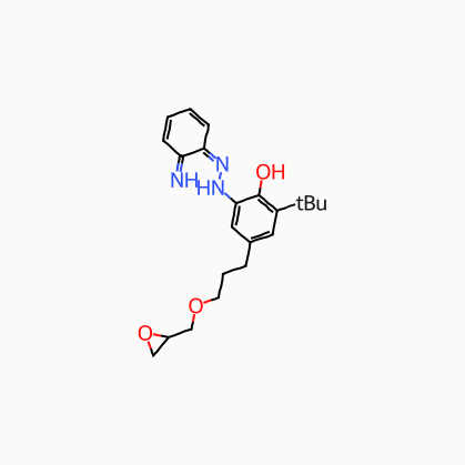 CC(C)(C)c1cc(CCCOCC2CO2)cc(N/N=C2/C=CC=CC2=N)c1O